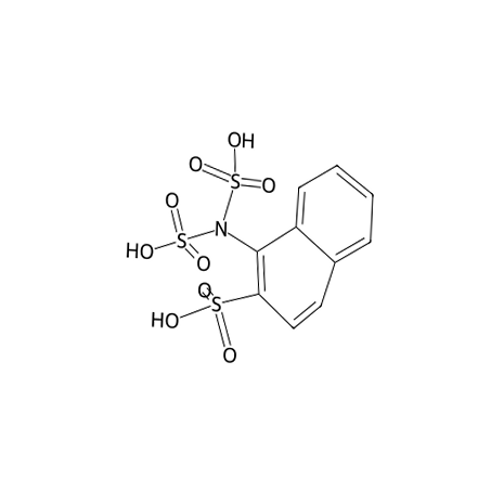 O=S(=O)(O)c1ccc2ccccc2c1N(S(=O)(=O)O)S(=O)(=O)O